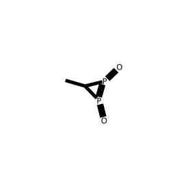 CC1P(=O)=P1=O